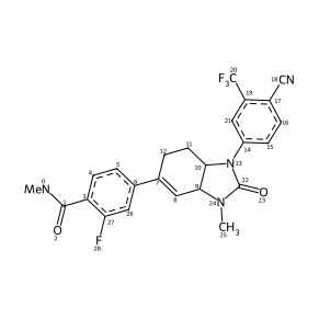 CNC(=O)c1ccc(C2=CC3C(CC2)N(c2ccc(C#N)c(C(F)(F)F)c2)C(=O)N3C)cc1F